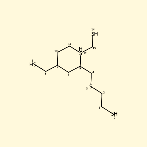 SCCSCC1CC(CS)CC[SH]1CS